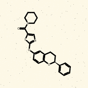 O=C(c1cnc(Oc2ccc3c(c2)CC[C@@H](c2ccccc2)O3)s1)N1CCCCC1